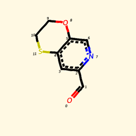 O=Cc1cc2c(cn1)OCCS2